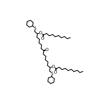 CCCCCCCCCC(=O)OC(CCCCCC(=O)CCCCCC(CSC1CCCCC1)OC(=O)CCCCCCCCC)CSC1CCCCC1